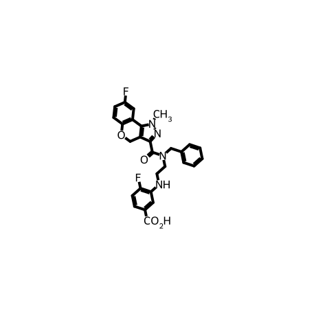 Cn1nc(C(=O)N(CCNc2cc(C(=O)O)ccc2F)Cc2ccccc2)c2c1-c1cc(F)ccc1OC2